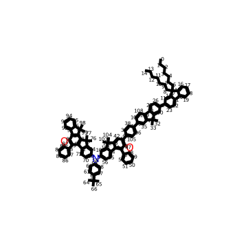 CCCCCCCC1(CCCCCCC)c2ccccc2-c2ccc(-c3ccc4c(c3)C(C)(C)c3cc(-c5ccc(-c6cc7c(c8c6oc6ccccc68)-c6ccc(N(c8ccc(C(C)(C)C)cc8)c8ccc9c(c8)C(C)(C)c8c%10c(c%11oc%12ccccc%12c%11c8-9)-c8ccccc8C%10(C)C)cc6C7(C)C)cc5)ccc3-4)cc21